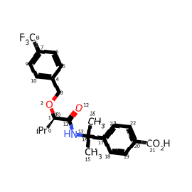 CC(C)[C@@H](OCc1ccc(C(F)(F)F)cc1)C(=O)NC(C)(C)c1ccc(C(=O)O)cc1